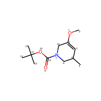 COC1=CC(C)CN(C(=O)OC(C)(C)C)C1